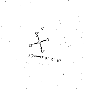 CCO.[K+].[K+].[K+].[K+].[O-][Si]([O-])([O-])[O-]